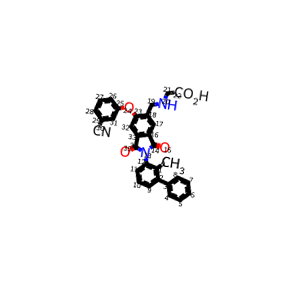 Cc1c(-c2ccccc2)cccc1N1C(=O)c2cc(CNCC(=O)O)c(Oc3cccc(C#N)c3)cc2C1=O